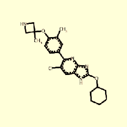 Cc1cc(-c2nc3nc(OC4CCCCC4)[nH]c3cc2Cl)ccc1OC1(C)CNC1